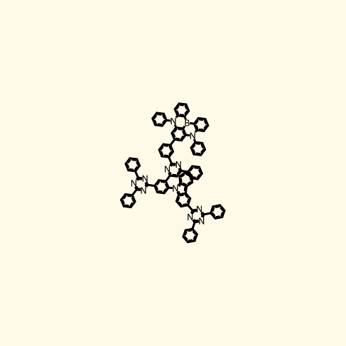 c1ccc(-c2cc(-c3cc(-c4nc(-c5ccccc5)nc(-c5ccccc5)n4)ccc3-n3c4ccccc4c4cc(-c5nc(-c6ccccc6)nc(-c6ccccc6)n5)ccc43)nc(-c3cccc(-c4cc5c6c(c4)N(c4ccccc4)c4ccccc4B6c4ccccc4N5c4ccccc4)c3)n2)cc1